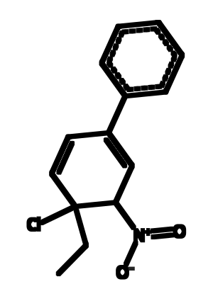 CCC1(Cl)C=CC(c2ccccc2)=CC1[N+](=O)[O-]